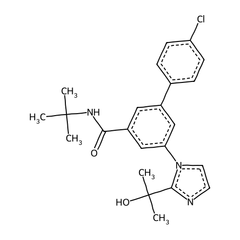 CC(C)(C)NC(=O)c1cc(-c2ccc(Cl)cc2)cc(-n2ccnc2C(C)(C)O)c1